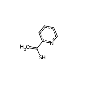 C=C(S)c1ccccn1